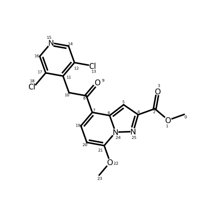 COC(=O)c1cc2c(C(=O)Cc3c(Cl)cncc3Cl)ccc(OC)n2n1